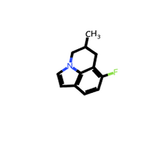 CC1Cc2c(F)ccc3ccn(c23)C1